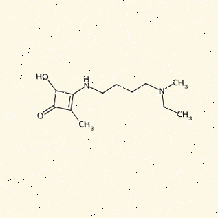 CCN(C)CCCCNC1=C(C)C(=O)C1O